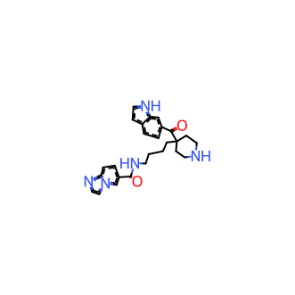 O=C(NCCCCC1(C(=O)c2ccc3cc[nH]c3c2)CCNCC1)c1ccc2nccn2c1